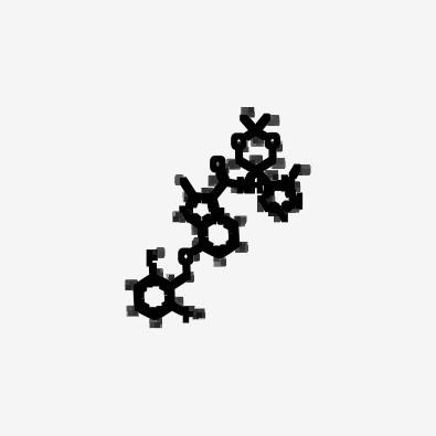 Cc1nc2c(OCc3c(F)cccc3F)cccn2c1C(=O)NC1(c2nnnn2C)COC(C)(C)OC1